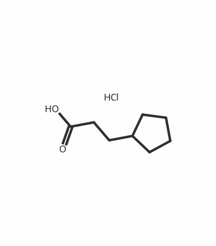 Cl.O=C(O)CCC1CCCC1